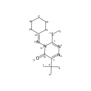 CSc1nnc(C(C)(C)C)c(=O)n1N=C1CCCCC1